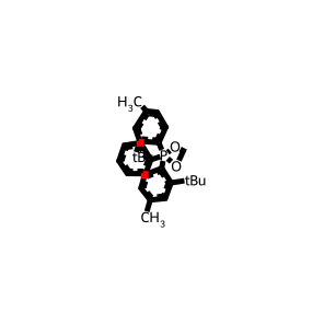 Cc1ccc(P2(c3ccccc3)(c3ccc(C)cc3C(C)(C)C)OCO2)c(C(C)(C)C)c1